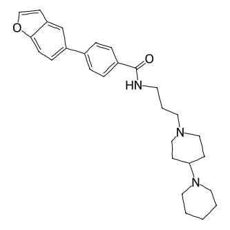 O=C(NCCCN1CCC(N2CCCCC2)CC1)c1ccc(-c2ccc3occc3c2)cc1